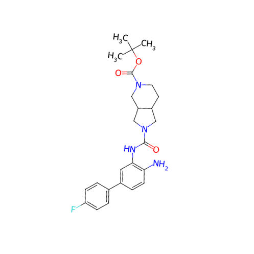 CC(C)(C)OC(=O)N1CCC2CN(C(=O)Nc3cc(-c4ccc(F)cc4)ccc3N)CC2C1